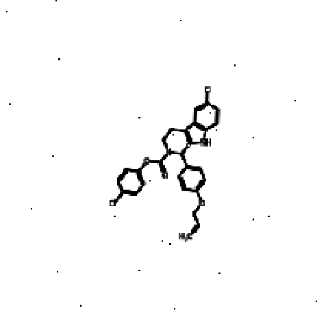 C=CCOc1ccc(C2c3[nH]c4ccc(Cl)cc4c3CCN2C(=O)Oc2ccc(Cl)cc2)cc1